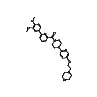 COc1ccc(-c2cccc(C(=O)N3CCN(c4ccc(OCCN5CCOCC5)cn4)CC3)n2)cc1OC